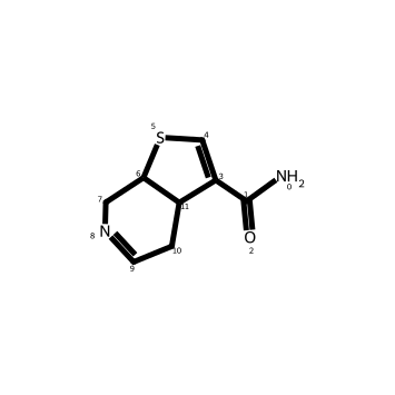 NC(=O)C1=CSC2CN=CCC12